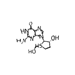 Nc1nc2c(ncn2[C@H]2[C@H](O)CC[SH]2CO)c(=O)[nH]1